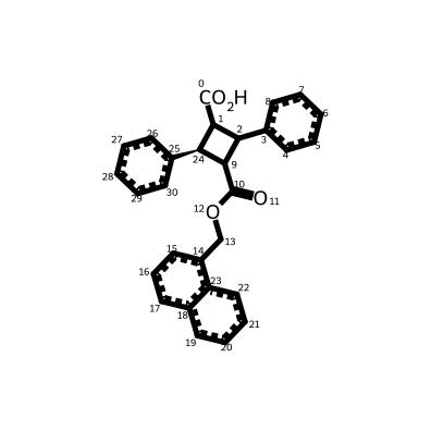 O=C(O)C1C(c2ccccc2)C(C(=O)OCc2cccc3ccccc23)[C@H]1c1ccccc1